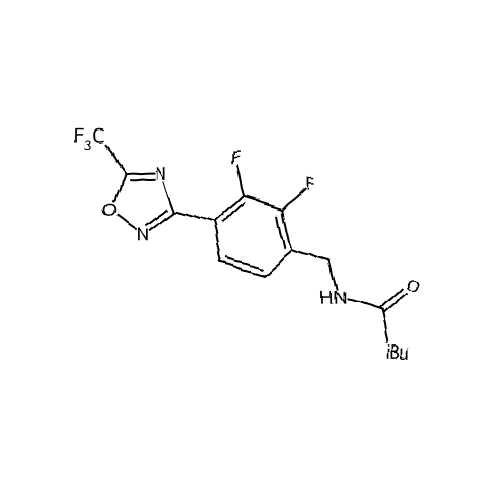 CCC(C)C(=O)NCc1ccc(-c2noc(C(F)(F)F)n2)c(F)c1F